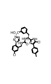 Cc1ccc(-c2nc([C@H](Cc3cccc(C(=O)O)c3)NC(=O)NCc3cc(Cl)ccc3-n3cnnn3)[nH]c2Cl)cc1